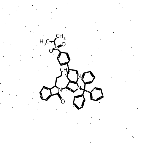 CCCC1c2ccccc2C(=O)N1c1cn(C(c2ccccc2)(c2ccccc2)c2ccccc2)c2ncc(-c3ccc(S(=O)(=O)C(C)C)cc3)nc12